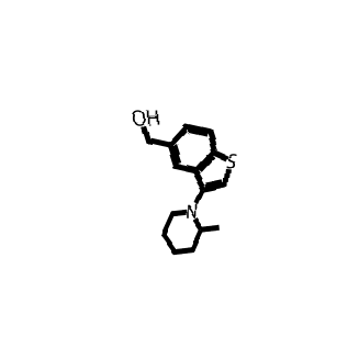 CC1CCCCN1c1csc2ccc(CO)cc12